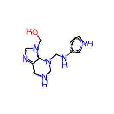 OCN1CN=C2CNCN(CNc3cc[nH]c3)C21